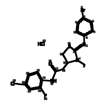 CN1C(=Nc2ccc(Br)cc2)SCC1CC(=O)Nc1ccc(Cl)cc1F.Cl